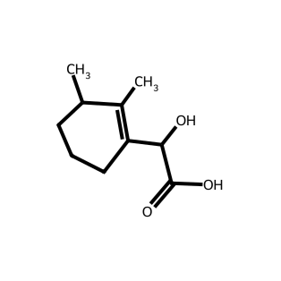 CC1=C(C(O)C(=O)O)CCCC1C